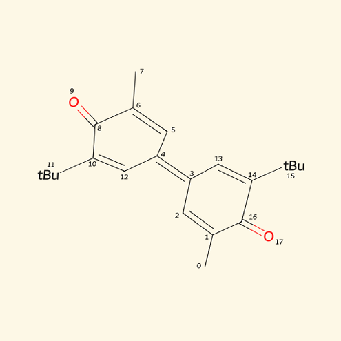 CC1=CC(=C2C=C(C)C(=O)C(C(C)(C)C)=C2)C=C(C(C)(C)C)C1=O